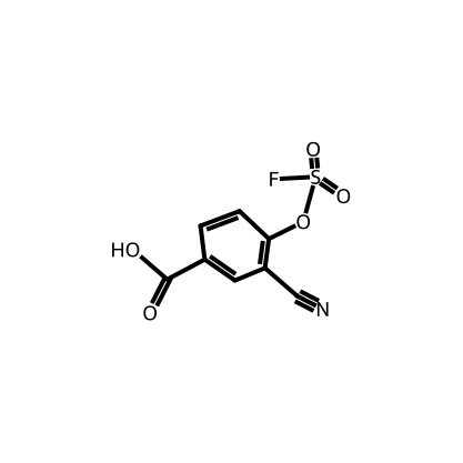 N#Cc1cc(C(=O)O)ccc1OS(=O)(=O)F